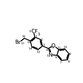 FC(F)(F)c1cc(-c2nc3ccccc3o2)ccc1CBr